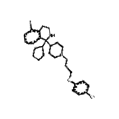 N#Cc1ccc(OCCCN2CCC(C3(C4CCCC4)NCCc4c(F)cccc43)CC2)cc1